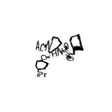 CC(=O)N1CCC[C@H](NS(=O)(=O)Cc2ccccc2)[C@@H]1COC1CCC(C(C)C)CC1